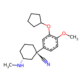 CN[C@@H]1CCC[C@](C#N)(c2ccc(OC)c(OC3CCCC3)c2)C1